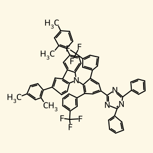 Cc1ccc(-c2ccc3c(c2)c2cc(-c4ccc(C)cc4C)ccc2n3-c2c(-c3cccc(C(F)(F)F)c3)cc(-c3nc(-c4ccccc4)nc(-c4ccccc4)n3)cc2-c2cccc(C(F)(F)F)c2)c(C)c1